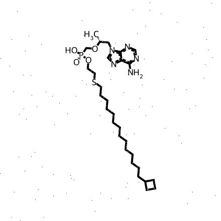 C[C@H](Cn1cnc2c(N)ncnc21)OCP(=O)(O)OCCSCCCCCCCCCCCCCCC1CCC1